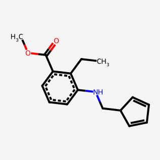 CCc1c(NCC2C=CC=C2)cccc1C(=O)OC